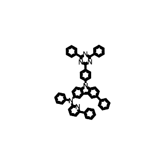 c1ccc(-c2ccc3c(c2)c2cc(N(c4ccccc4)c4cccc(-c5ccccc5)n4)ccc2n3-c2ccc(-c3nc(-c4ccccc4)nc(-c4ccccc4)n3)cc2)cc1